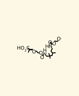 CC(=COCCOC(=O)NCC(C)(C)CC(C)CCNC(=O)OCC[O])C(=O)O